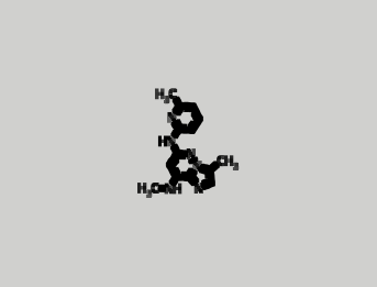 CNc1cc(Nc2cccc(C)n2)nn2c(C)cnc12